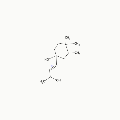 CC(O)/C=C/C1(O)CCC(C)(C)C(C)C1